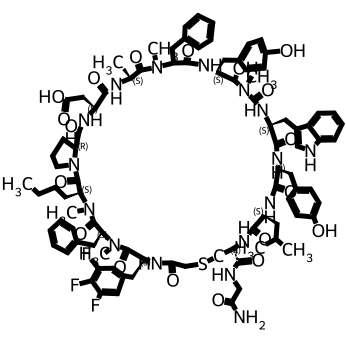 CCCC[C@H]1C(=O)N2CCC[C@@H]2C(=O)N[C@@H](CC(=O)O)C(=O)N[C@@H](C)C(=O)N(C)C(Cc2ccccc2)C(=O)N[C@@H](Cc2ccc(O)cc2)C(O)N(C)C(=O)N[C@@H](Cc2c[nH]c3ccccc23)C(=O)N[C@@H](Cc2ccc(O)cc2)C(=O)N[C@@H](CC(C)C)C(=O)N[C@H](C(=O)NCC(N)=O)CSCC(=O)N[C@@H](Cc2cc(F)c(F)c(F)c2)C(=O)N(C)[C@@H](Cc2ccccc2)C(=O)N1C